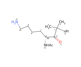 CCCC(C)(C)C(=O)[C@@H](CCCCN)NC(C)=O